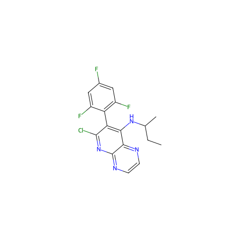 CCC(C)Nc1c(-c2c(F)cc(F)cc2F)c(Cl)nc2nccnc12